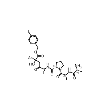 CC(=O)C(O)(CC(=O)N(C)NC(=O)[C@@H]1CCCN1C(=O)[C@H](C)NC(=O)[C@H](C)N)C(=O)OCc1ccc(I)cc1